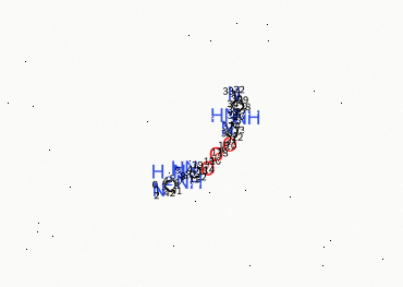 CN(C)c1ccc(NC(N)C2C=CC(OCCOCCOc3ccc(C4Nc5ccc(N(C)C)cc5N4)nc3)=CN2)cc1